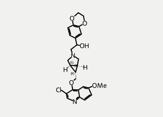 COc1ccc2ncc(Cl)c(OC[C@@H]3[C@H]4CN(CC(O)c5ccc6c(c5)OCCO6)C[C@@H]34)c2c1